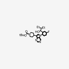 CCN(CC)C(O)c1cc(F)ccc1-n1cc(C2CCN(C(=O)OC(C)(C)C)CC2)c2ncncc21